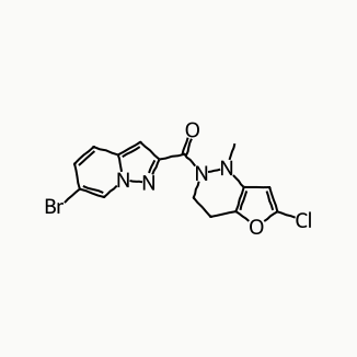 CN1c2cc(Cl)oc2CCN1C(=O)c1cc2ccc(Br)cn2n1